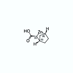 O=C(O)[C@H]1[Zn][C@@H]2CC[C@H]1C2